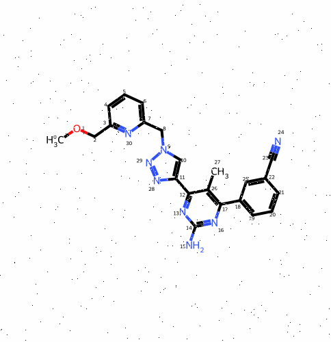 COCc1cccc(Cn2cc(-c3nc(N)nc(-c4cccc(C#N)c4)c3C)nn2)n1